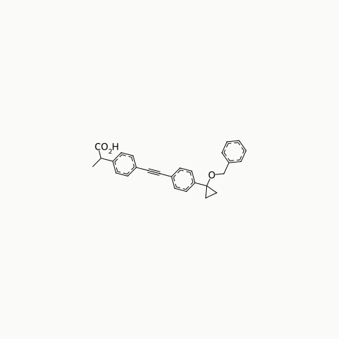 CC(C(=O)O)c1ccc(C#Cc2ccc(C3(OCc4ccccc4)CC3)cc2)cc1